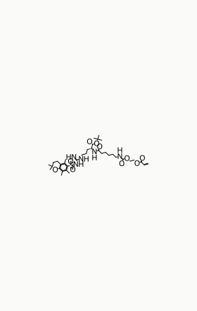 C=CC(=O)OCCOC(=O)NCCCCCC(=O)N[C@@H](CCCNC(=N)NS(=O)(=O)c1c(C)c(C)c2c(c1C)CCC(C)(C)O2)C(=O)OC(C)(C)C